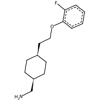 NC[C@H]1CC[C@@H](CCOc2ccccc2F)CC1